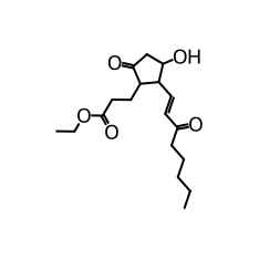 CCCCCC(=O)C=CC1C(O)CC(=O)C1CCC(=O)OCC